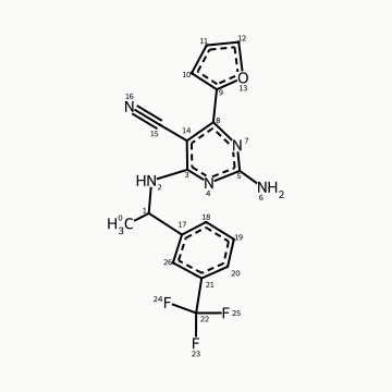 CC(Nc1nc(N)nc(-c2ccco2)c1C#N)c1cccc(C(F)(F)F)c1